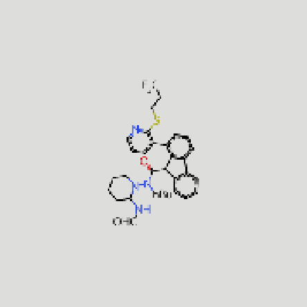 CCCCN(C(=O)C1c2ccccc2-c2cccc(-c3cccnc3SCCC(F)(F)F)c21)N1CCCCC1NC=O